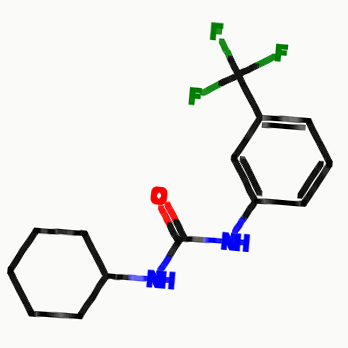 O=C(Nc1cccc(C(F)(F)F)c1)NC1CCCCC1